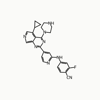 N#Cc1ccc(Nc2cc(-c3nc(N4CCNCC4)c4c(C5CC5)cncc4n3)ccn2)cc1F